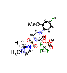 COc1cc(F)ccc1N1CCN(S(=O)(=O)n2cc[n+](C)c2C)CC1.O=S(=O)(O)C(F)(F)F